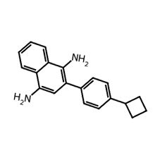 Nc1cc(-c2ccc(C3CCC3)cc2)c(N)c2ccccc12